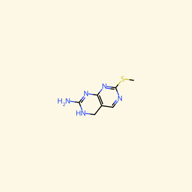 CSc1ncc2c(n1)N=C(N)NC2